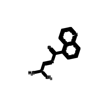 CN(C)C=NC(=O)c1cccc2ncccc12